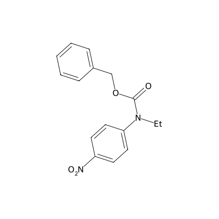 CCN(C(=O)OCc1ccccc1)c1ccc([N+](=O)[O-])cc1